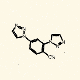 N#Cc1ccc(-n2ccnn2)cc1-n1ccnn1